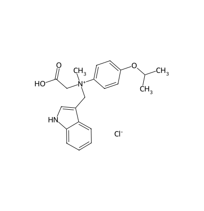 CC(C)Oc1ccc([N+](C)(CC(=O)O)Cc2c[nH]c3ccccc23)cc1.[Cl-]